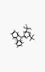 CC(C)(C)c1nc(-n2c3ccccc3c3ccccc32)nc(C(C)(C)C)n1